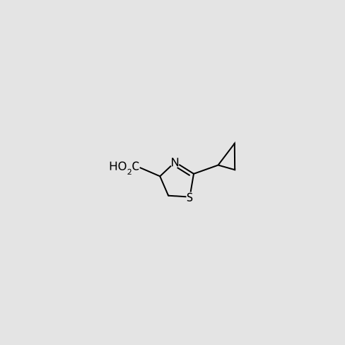 O=C(O)C1CSC(C2CC2)=N1